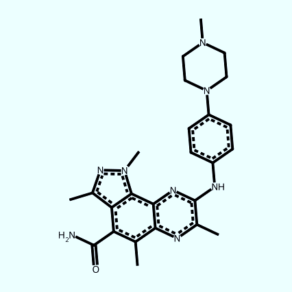 Cc1nc2c(C)c(C(N)=O)c3c(C)nn(C)c3c2nc1Nc1ccc(N2CCN(C)CC2)cc1